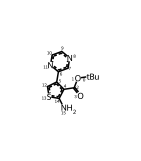 CC(C)(C)OC(=O)c1c(-c2cnccn2)csc1N